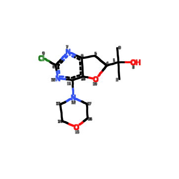 CC(C)(O)C1Cc2nc(Cl)nc(N3CCOCC3)c2O1